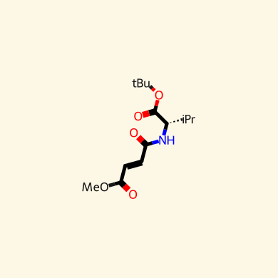 COC(=O)/C=C/C(=O)N[C@H](C(=O)OC(C)(C)C)C(C)C